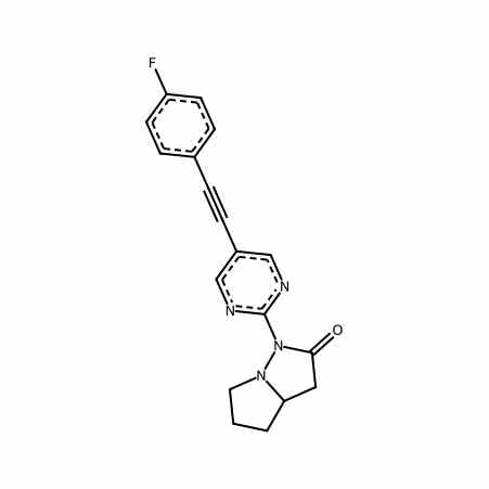 O=C1CC2CCCN2N1c1ncc(C#Cc2ccc(F)cc2)cn1